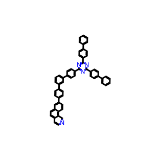 c1ccc(-c2ccc(-c3nc(-c4ccc(-c5ccccc5)cc4)nc(-c4ccc(-c5cccc(-c6ccc(-c7ccc8c(ccc9ccncc98)c7)cc6)c5)cc4)n3)cc2)cc1